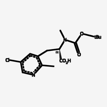 Cc1ncc(Cl)cc1C[C@@H](C(=O)O)N(C)C(=O)OC(C)(C)C